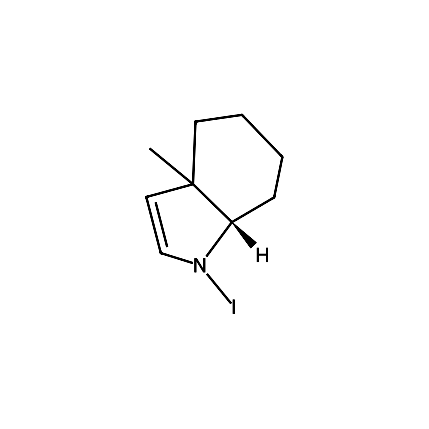 CC12C=CN(I)[C@H]1CCCC2